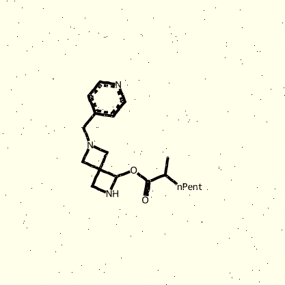 CCCCCC(C)C(=O)OC1NCC12CN(Cc1ccncc1)C2